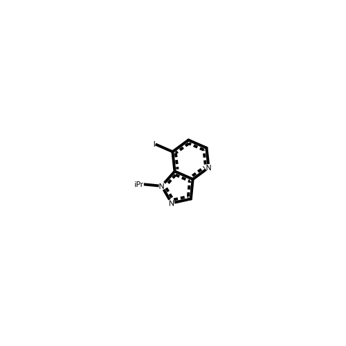 CC(C)n1ncc2nccc(I)c21